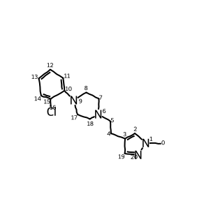 Cn1cc(CCN2CCN(c3ccccc3Cl)CC2)cn1